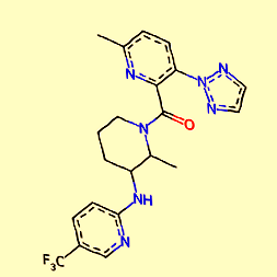 Cc1ccc(-n2nccn2)c(C(=O)N2CCCC(Nc3ccc(C(F)(F)F)cn3)C2C)n1